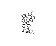 CC1=CC=C(N(c2ccc(C(C)(C)C)cc2)c2ccc3c(c2)C2(c4ccccc4-c4ccc(F)cc42)c2cc(N(c4ccc(C(C)(C)C)cc4)c4ccc(C)cn4)c4c(oc5ccccc54)c2-3)NC1